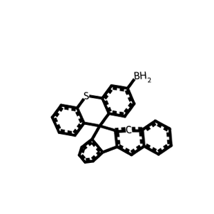 Bc1ccc2c(c1)Sc1ccccc1C21c2ccccc2-c2cc3ccccc3cc21